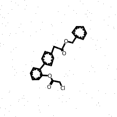 O=C(Cc1ccc(-c2ccccc2OC(=O)CCl)cc1)OCc1ccccc1